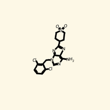 Nc1ncn(Cc2c(Cl)cccc2Cl)c2nc(C3CCS(=O)(=O)CC3)nc1-2